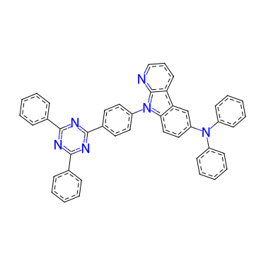 c1ccc(-c2nc(-c3ccccc3)nc(-c3ccc(-n4c5ccc(N(c6ccccc6)c6ccccc6)cc5c5cccnc54)cc3)n2)cc1